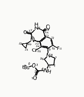 CC(C)(C)OC(=O)NC1CCN(c2c(F)cc3c(=O)[nH]c(=O)n(C4CC4)c3c2Cl)C1